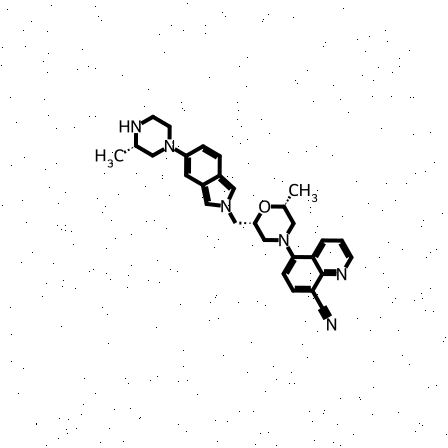 C[C@@H]1CN(c2ccc(C#N)c3ncccc23)C[C@H](Cn2cc3ccc(N4CCN[C@@H](C)C4)cc3c2)O1